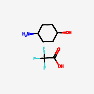 N[C@H]1CC[C@@H](O)CC1.O=C(O)C(F)(F)F